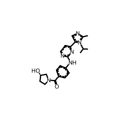 Cc1ncc(-c2ccnc(Nc3ccc(C(=O)N4CC[C@@H](O)C4)cc3)n2)n1C(C)C